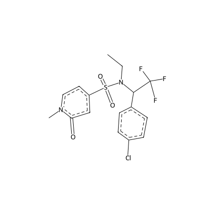 CCN(C(c1ccc(Cl)cc1)C(F)(F)F)S(=O)(=O)c1ccn(C)c(=O)c1